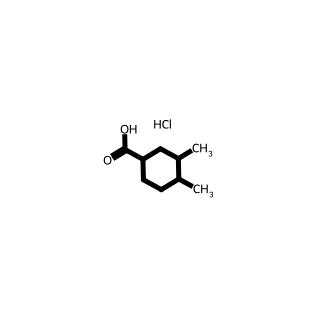 CC1CCC(C(=O)O)CC1C.Cl